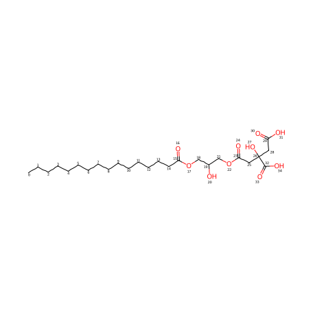 CCCCCCCCCCCCCCCC(=O)OCC(O)COC(=O)CC(O)(CC(=O)O)C(=O)O